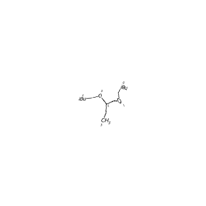 CCC(C)OC(C)OC(C)CC